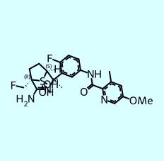 COc1cnc(C(=O)Nc2ccc(F)c([C@@]3(C)N=C(N)[C@@]4(CF)CC[C@@H]3S4(O)O)c2)c(C)c1